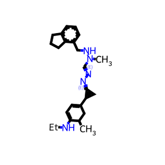 CCNC1=CC=C(c2c/c2=N\N=C\N(C)NCc2cccc3c2CCC3)CC1C